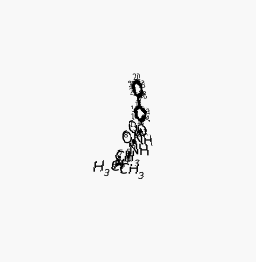 C[N+](C)(C)CCNC(=O)NC(=O)Oc1ccc(-c2ccccc2)cc1